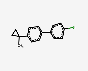 CC1(c2ccc(-c3ccc(Br)cc3)cc2)CC1